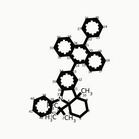 CC(C)(C)C12CCCCC1(C)c1cc(-c3c4ccccc4c(-c4ccccc4)c4ccccc34)ccc1N2c1ccccc1